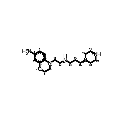 Nc1ccc2c(c1)OCCN2CCNCCCN1CCNCC1